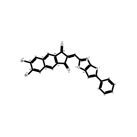 O=C1C(=Cc2nc3sc(-c4ccccc4)cc3o2)C(=O)c2cc3cc(Br)c(Br)cc3cc21